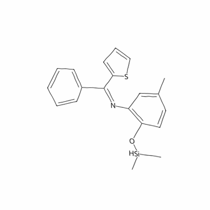 Cc1ccc(O[SiH](C)C)c(N=C(c2ccccc2)c2cccs2)c1